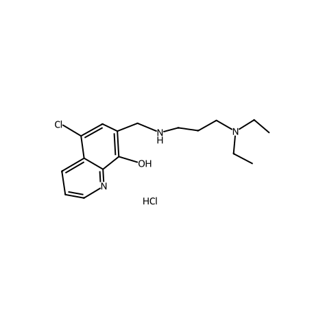 CCN(CC)CCCNCc1cc(Cl)c2cccnc2c1O.Cl